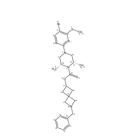 CSc1nc(N2C[C@@H](C)N(C(=O)OC3CC4(C3)CN(Cc3ccccc3)C4)[C@@H](C)C2)ncc1Br